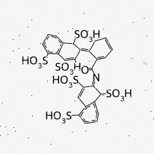 O=C(N=C1C(S(=O)(=O)O)=Cc2c(cccc2S(=O)(=O)O)C1S(=O)(=O)O)C1=CC=CCC1=C1C(S(=O)(=O)O)=Cc2c(cccc2S(=O)(=O)O)C1S(=O)(=O)O